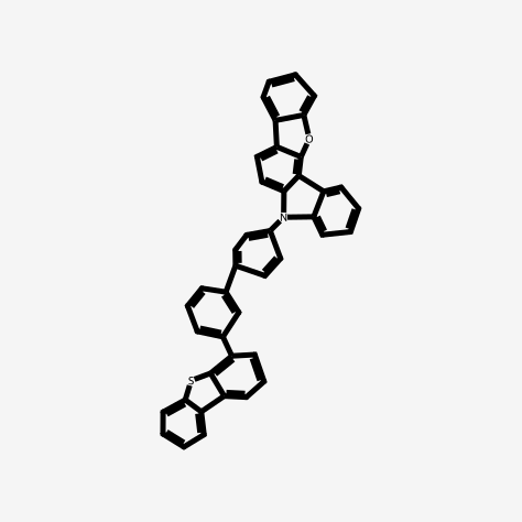 c1cc(-c2ccc(-n3c4ccccc4c4c5oc6ccccc6c5ccc43)cc2)cc(-c2cccc3c2sc2ccccc23)c1